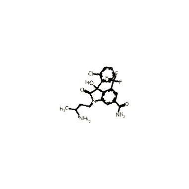 CC(N)CCN1C(=O)C(O)(c2ccccc2Cl)c2c1cc(C(N)=O)cc2C(F)(F)F